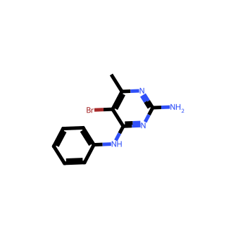 Cc1nc(N)nc(Nc2ccccc2)c1Br